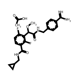 CC(=O)O.COC(C(=O)NCc1ccc(C(=N)N)cc1)c1c(F)ccc(C(=O)NCC2CC2)c1F